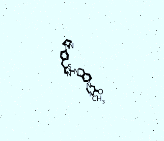 CN1CCN(c2ccc3c(c2)CN(c2ncc(Cc4ccc(-n5cccn5)cc4)s2)CC3)CC1=O